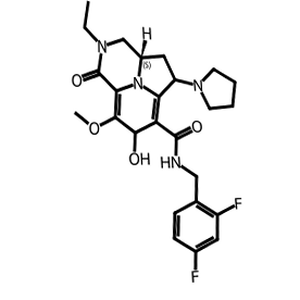 CCN1C[C@@H]2CC(N3CCCC3)C3=C(C(=O)NCc4ccc(F)cc4F)C(O)C(OC)=C(C1=O)N32